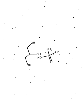 NP(=O)(O)O.OCC(O)CO